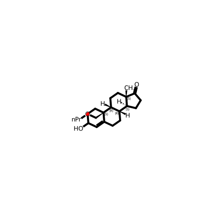 CCCOC[C@]12CCC(O)C=C1CC[C@@H]1[C@H]2CC[C@]2(C)C(=O)CC[C@@H]12